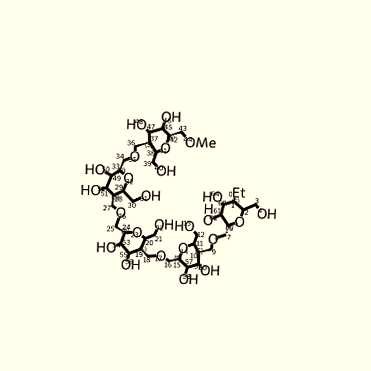 CC[C@@H]1C(CO)O[C@H](COC[C@@H]2C(CO)O[C@H](COC[C@@H]3C(CO)O[C@H](COC[C@@H]4C(CO)O[C@H](COC[C@@H]5C(CO)O[C@H](COC)C(O)C5O)C(O)C4O)C(O)C3O)C(O)C2O)C(O)C1O